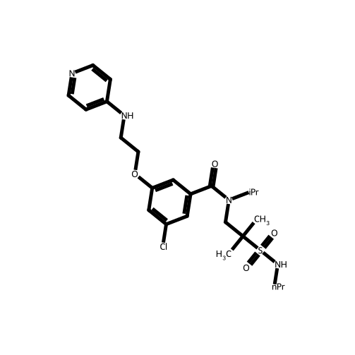 CCCNS(=O)(=O)C(C)(C)CN(C(=O)c1cc(Cl)cc(OCCNc2ccncc2)c1)C(C)C